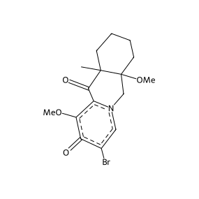 COc1c2n(cc(Br)c1=O)CC1(OC)CCCCC1(C)C2=O